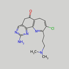 CN(C)CCCC1=NC2=C(CC=C1Cl)C(=O)Cc1cnc(N)nc12